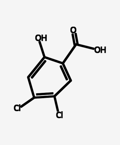 O=C(O)c1cc(Cl)c(Cl)cc1O